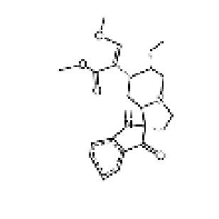 CC[C@@H]1CN2CC[C@]3(Nc4ccccc4C3=O)C2C[C@@H]1/C(=C/OC)C(=O)OC